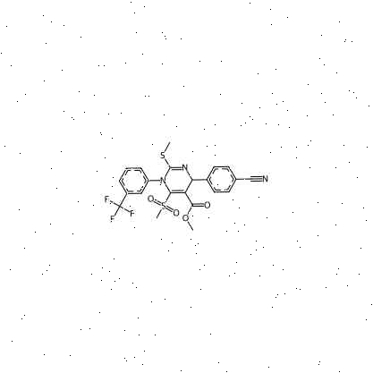 COC(=O)C1=C(S(C)(=O)=O)N(c2cccc(C(F)(F)F)c2)C(SC)=NC1c1ccc(C#N)cc1